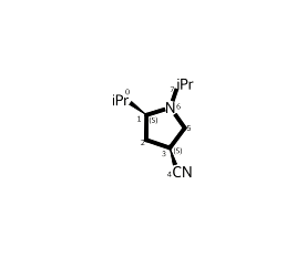 CC(C)[C@@H]1C[C@H](C#N)CN1C(C)C